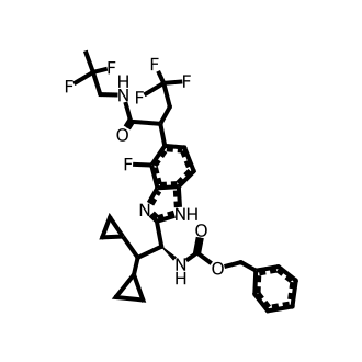 CC(F)(F)CNC(=O)C(CC(F)(F)F)c1ccc2[nH]c([C@@H](NC(=O)OCc3ccccc3)C(C3CC3)C3CC3)nc2c1F